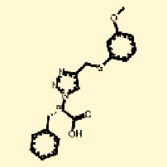 COc1cccc(SCc2cn([C@@H](Cc3ccccc3)C(=O)O)nn2)c1